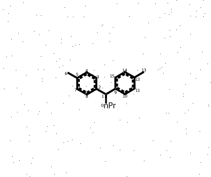 CCCC(c1ccc(C)cc1)c1ccc(C)cc1